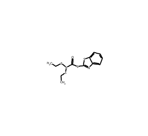 CCSN(SCC)C(=O)Sc1nc2ccccc2s1